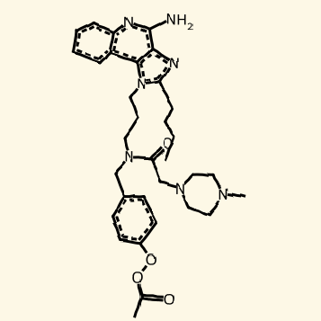 CCCCc1nc2c(N)nc3ccccc3c2n1CCCN(Cc1ccc(OOC(C)=O)cc1)C(=O)CN1CCN(C)CC1